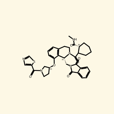 CNC(=O)[C@@H]1CCCCC1C(=O)N1CCc2cccc(O[C@H]3CCN(C(=O)c4cncs4)C3)c2[C@H]1CN1C(=O)c2ccccc2C1=O